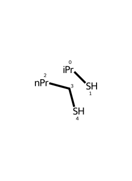 CC(C)S.CCCCS